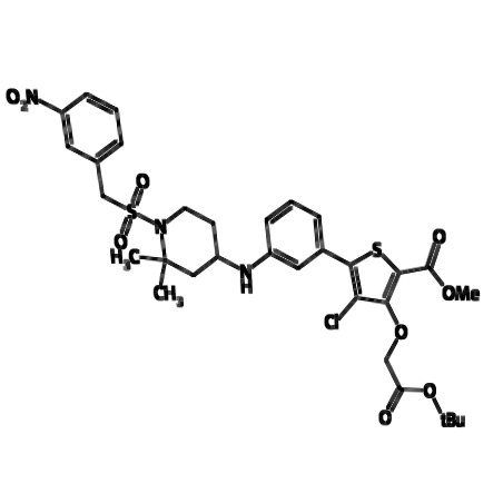 COC(=O)c1sc(-c2cccc(NC3CCN(S(=O)(=O)Cc4cccc([N+](=O)[O-])c4)C(C)(C)C3)c2)c(Cl)c1OCC(=O)OC(C)(C)C